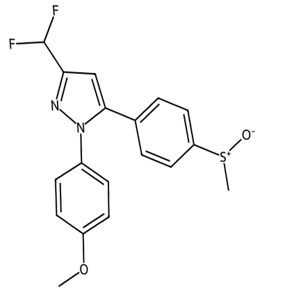 COc1ccc(-n2nc(C(F)F)cc2-c2ccc([S+](C)[O-])cc2)cc1